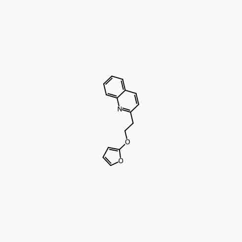 c1coc(OCCc2ccc3ccccc3n2)c1